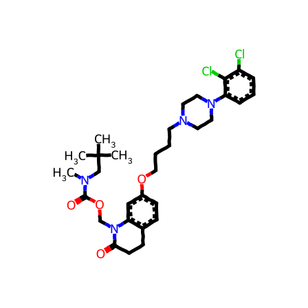 CN(CC(C)(C)C)C(=O)OCN1C(=O)CCc2ccc(OCCCCN3CCN(c4cccc(Cl)c4Cl)CC3)cc21